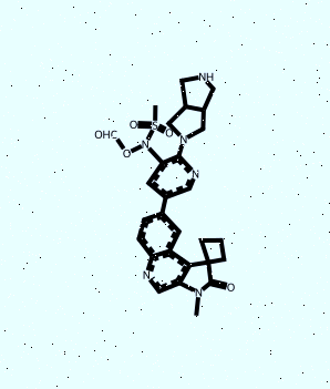 CN1C(=O)C2(CCC2)c2c1cnc1ccc(-c3cnc(N4CC5CNCC5C4)c(N(OC=O)S(C)(=O)=O)c3)cc21